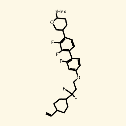 C=CC1CCC(C(F)(F)CCOc2ccc(-c3ccc(C4CCC(CCCCCC)OC4)c(F)c3F)c(F)c2)CC1